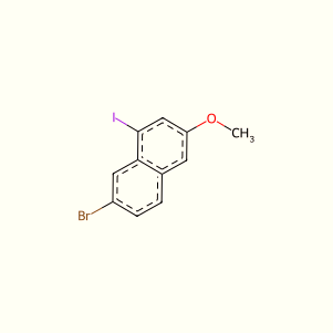 COc1cc(I)c2cc(Br)ccc2c1